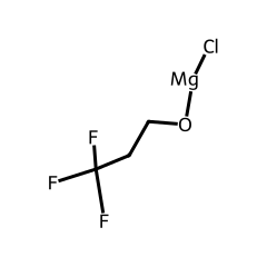 FC(F)(F)CC[O][Mg][Cl]